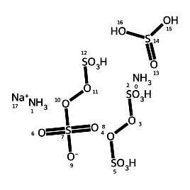 N.N.O=S(=O)(O)OOS(=O)(=O)O.O=S(=O)([O-])OOS(=O)(=O)O.O=S(O)O.[Na+]